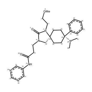 COCCN1C(=O)N(CCC(=O)Nc2cncnc2)C[C@]12CC[C@@](c1ccccc1)(N(C)C)CC2